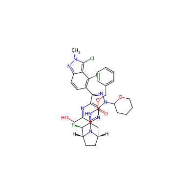 Cn1nc2ccc(-c3nn(C4CCCCO4)c4nc(N5[C@H]6CC[C@@H]5[C@@H](F)[C@@H](NC(=O)OCc5ccccc5)C6)c(CO)nc34)c(F)c2c1Cl